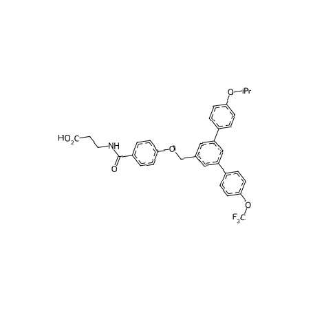 CC(C)Oc1ccc(-c2cc(COc3ccc(C(=O)NCCC(=O)O)cc3)cc(-c3ccc(OC(F)(F)F)cc3)c2)cc1